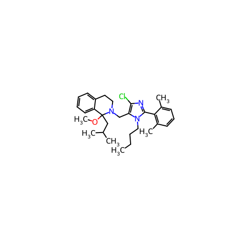 CCCCn1c(-c2c(C)cccc2C)nc(Cl)c1CN1CCc2ccccc2C1(CC(C)C)OC